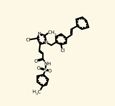 Cc1ccc(S(=O)(=O)NC(=O)C=Cc2c(Cl)nc(C)n2Cc2ccc(C=Cc3ccccc3)cc2Cl)cc1